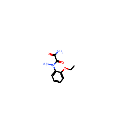 CCOc1ccccc1N(N)C(=O)C(N)=O